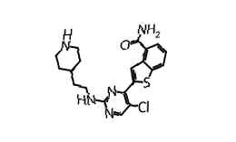 NC(=O)c1cccc2sc(-c3nc(NCCC4CCNCC4)ncc3Cl)cc12